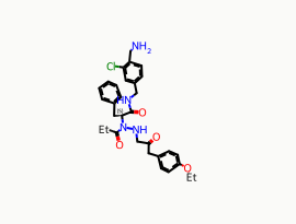 CCOc1ccc(CC(=O)CNN(C(=O)CC)[C@@H](Cc2ccccc2)C(=O)NCc2ccc(CN)c(Cl)c2)cc1